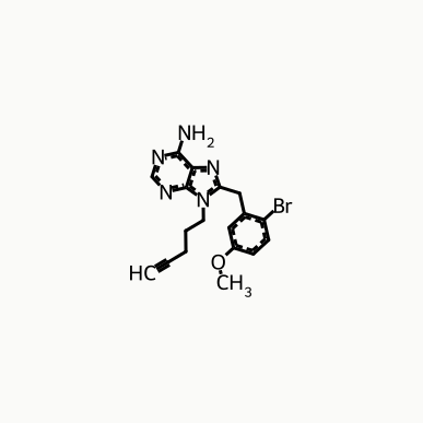 C#CCCCn1c(Cc2cc(OC)ccc2Br)nc2c(N)ncnc21